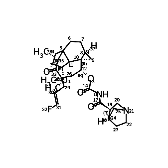 CO[C@@H]1CCC23CC[C@H]4C[C@@]4(C12)[C@H](OC(=O)NC(=O)[C@H]1CN2CC[C@@H]1C2)C[C@@](C)(CC=CF)C(=O)[C@@H]3C